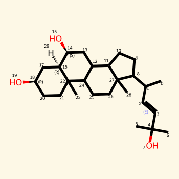 CC(/C=C/C(C)(C)O)C1CCC2C3C[C@H](O)[C@@H]4C[C@H](O)CCC4(C)C3CCC12C